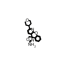 NC1=NC2(CO1)c1ccccc1Oc1nc(C3CCOCC3)ccc12